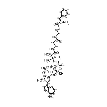 CC(C)(COP(=O)(O)OP(=O)(O)OC[C@H]1O[C@@H](n2cnc3c(N)ncnc32)[C@H](O)[C@@H]1OP(=O)(O)O)[C@@H](O)C(=O)NCCC(=O)NCCSC(=O)C(N)=Cc1ccccc1